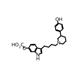 O=C(O)Oc1ccc2c(CCCCN3CCCC(c4ccc(O)cc4)C3)c[nH]c2c1